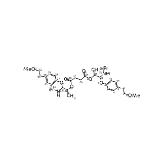 COCCc1ccc(OC(NC(C)C)C(C)OC(=O)CCC(=O)OC(C)C(NC(C)C)Oc2ccc(CCOC)cc2)cc1